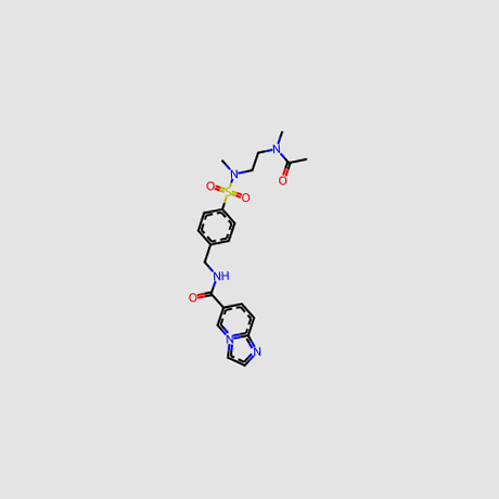 CC(=O)N(C)CCN(C)S(=O)(=O)c1ccc(CNC(=O)c2ccc3nccn3c2)cc1